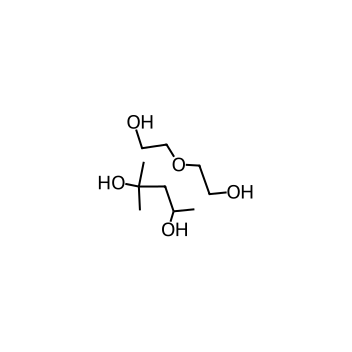 CC(O)CC(C)(C)O.OCCOCCO